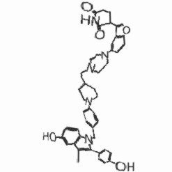 Cc1c(-c2ccc(O)cc2)n(Cc2ccc(N3CCC(CN4CCN(c5ccc6occ(C7CCC(=O)NC7=O)c6c5)CC4)CC3)cc2)c2ccc(O)cc12